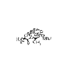 C=C(C)C(=O)OC(C)C[Si](OCCCC)(OCCCC)OCCCC